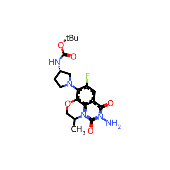 CC1COc2c(N3CC[C@H](NC(=O)OC(C)(C)C)C3)c(F)cc3c(=O)n(N)c(=O)n1c23